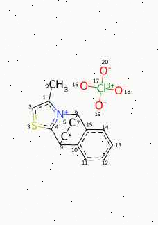 Cc1csc2[n+]1C1CCC2c2ccccc21.[O-][Cl+3]([O-])([O-])[O-]